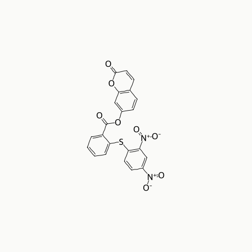 O=C(Oc1ccc2ccc(=O)oc2c1)c1ccccc1Sc1ccc([N+](=O)[O-])cc1[N+](=O)[O-]